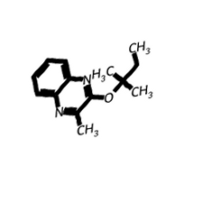 CCC(C)(C)Oc1nc2ccccc2nc1C